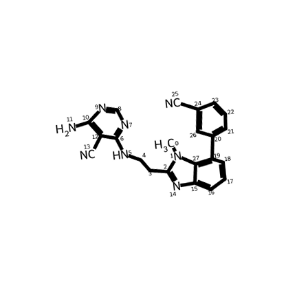 Cn1c(CCNc2ncnc(N)c2C#N)nc2cccc(-c3cccc(C#N)c3)c21